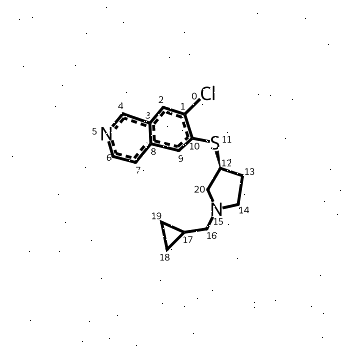 Clc1cc2cnccc2cc1S[C@H]1CCN(CC2CC2)C1